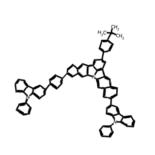 CC(C)(C)c1ccc(-c2cc3c4cc5ccc(-c6ccc(-c7ccc8c(c7)c7ccccc7n8-c7ccccc7)cc6)cc5cc4n4c5cc6cc(-c7ccc8c(c7)c7ccccc7n8-c7ccccc7)ccc6cc5c(c2)c34)cc1